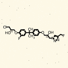 CC(C)(c1ccc(OC[C@@H](O)Cn2cc(CF)nn2)cc1)c1ccc(OC[C@H](O)CCl)c(F)c1